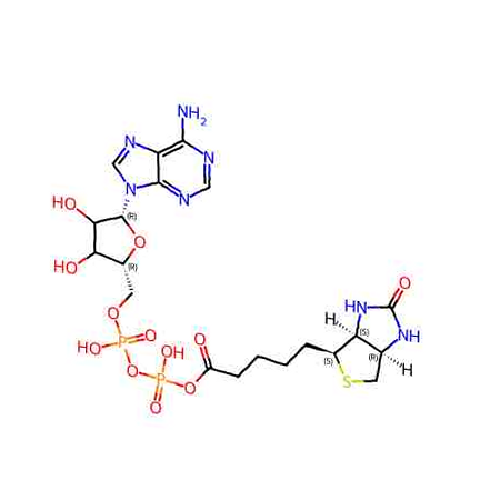 Nc1ncnc2c1ncn2[C@@H]1O[C@H](COP(=O)(O)OP(=O)(O)OC(=O)CCCC[C@@H]2SC[C@@H]3NC(=O)N[C@@H]32)C(O)C1O